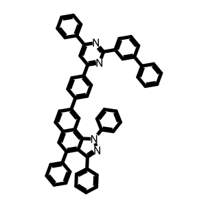 c1ccc(-c2cccc(-c3nc(-c4ccccc4)cc(-c4ccc(-c5ccc6cc(-c7ccccc7)c7c(-c8ccccc8)nn(-c8ccccc8)c7c6c5)cc4)n3)c2)cc1